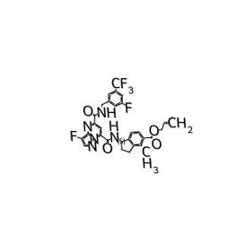 C=CCOC(=O)c1ccc2c(c1C)CC[C@@H]2NC(=O)c1cc(C(=O)NCc2cc(F)cc(C(F)(F)F)c2)nc2c(F)cnn12